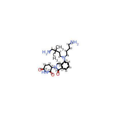 CC(C)(CN)CCN(CCCCN)c1cccc2c1CN(C1CCC(=O)NC1=O)C2=O